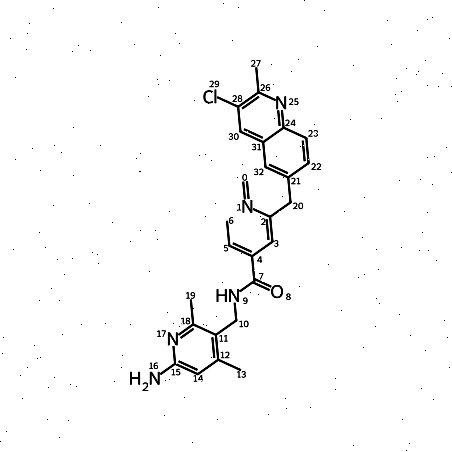 C=N/C(=C\C(=C/C)C(=O)NCc1c(C)cc(N)nc1C)Cc1ccc2nc(C)c(Cl)cc2c1